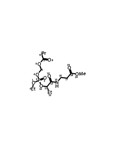 CCOP(=O)(OCOC(=O)C(C)C)O[C@H](CC)C(=O)NCCC(=O)OC